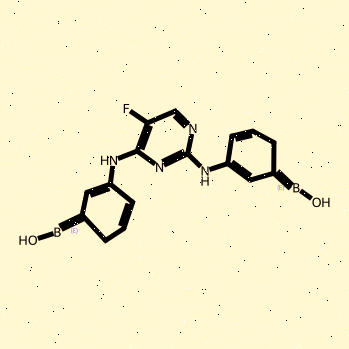 O/B=C1/C=C(Nc2ncc(F)c(NC3=C/C(=B/O)CC=C3)n2)C=CC1